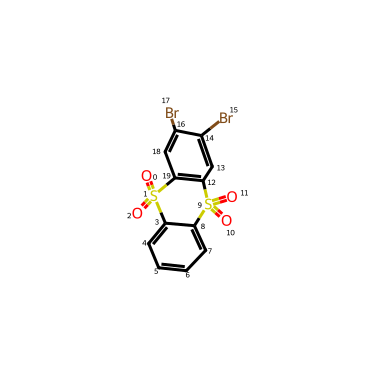 O=S1(=O)c2ccccc2S(=O)(=O)c2cc(Br)c(Br)cc21